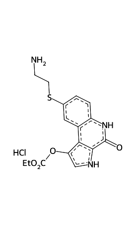 CCOC(=O)Oc1c[nH]c2c(=O)[nH]c3ccc(SCCN)cc3c12.Cl